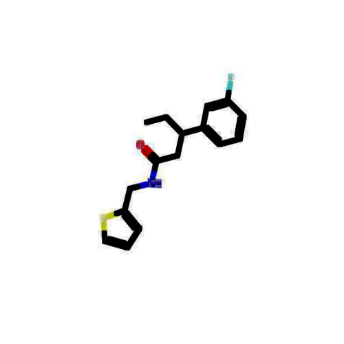 CCC(CC(=O)NCc1cccs1)c1cccc(F)c1